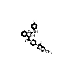 CN1C=C2C(=O)N(C3CCN(C(=O)[C@@H](NC(=O)Nc4ccc(Cl)cc4)c4ccccc4)CC3)CN2C1